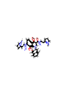 CN1CCCC1CCNC(=O)c1cn2c3c(c(NCCC4CCCN4C)ccc3c1=O)Oc1cc3ccccc3cc1-2